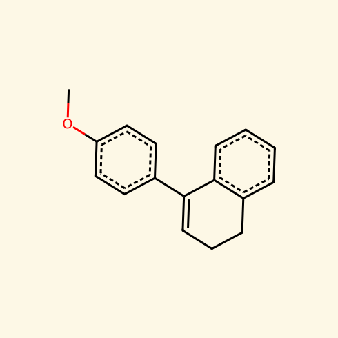 COc1ccc(C2=CCCc3ccccc32)cc1